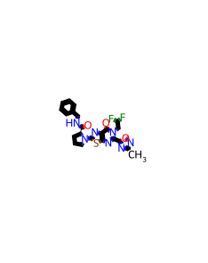 Cc1noc(-c2nc3sc(N4CCC[C@@H]4C(=O)NCc4ccccc4)nc3c(=O)n2CC(F)F)n1